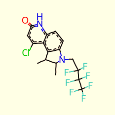 CC1c2c(ccc3[nH]c(=O)cc(Cl)c23)N(CC(F)(F)C(F)(F)C(F)(F)F)C1C